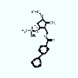 C=C1C(OC=O)CC(O[Si](C)(C)C(C)(C)C)C1COC(=O)c1ccc(-c2ccccc2)cc1